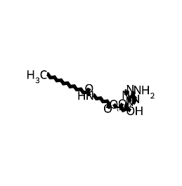 CCCCCCCCCCCCCC(=O)NCCCCCC(=O)OC[C@@H]1CC(O)[C@H](n2cnc3c(N)ncnc32)O1